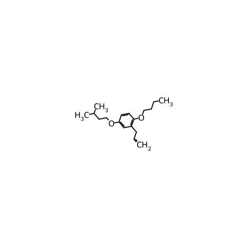 C=CCc1cc(OCCC(C)C)ccc1OCCCC